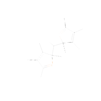 CC1=PC(C)(C(C)C2(C)P=C(C)C(C)=C2C)C(C)=C1C